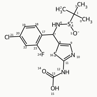 CC(C)(C)[S+]([O-])NC(c1cnc(NC(=O)O)s1)c1ccc(Cl)cc1F